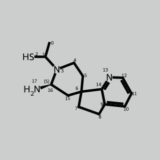 CC(S)N1CCC2(CCc3cccnc32)C[C@H]1N